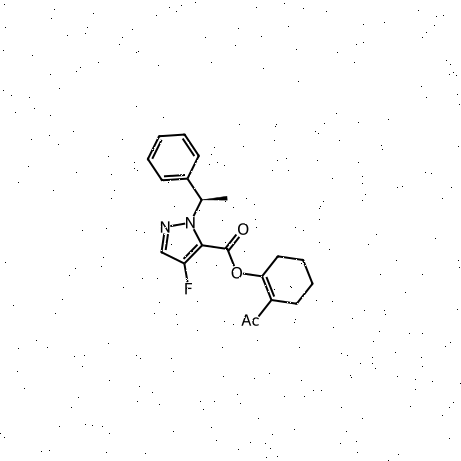 CC(=O)C1=C(OC(=O)c2c(F)cnn2[C@H](C)c2ccccc2)CCCC1